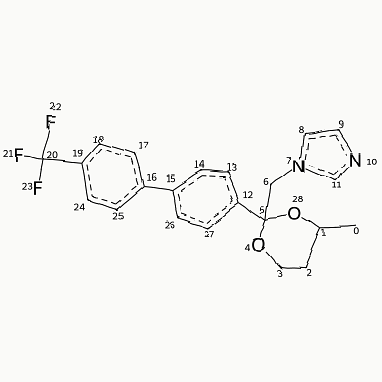 CC1CCOC(Cn2ccnc2)(c2ccc(-c3ccc(C(F)(F)F)cc3)cc2)O1